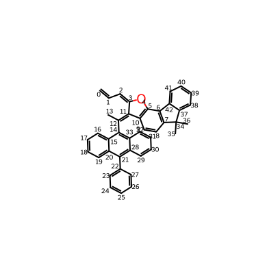 C=C/C=c1/oc2c3c(ccc2/c1=C(/C)c1c2ccccc2c(-c2ccccc2)c2ccccc12)C(C)(C)c1ccccc1-3